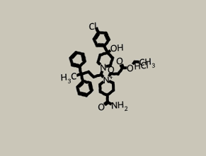 CCOC(=O)CC(=O)[N+]1(C(CCC(C)(c2ccccc2)c2ccccc2)N2CCC(O)(c3ccc(Cl)cc3)CC2)CCC(C(N)=O)CC1.Cl